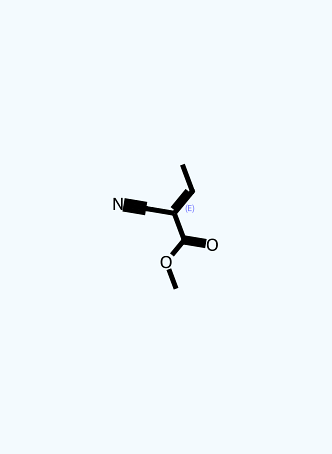 C/C=C(\C#N)C(=O)OC